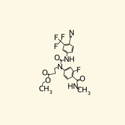 CCOC(=O)CCN(C(=O)Nc1ccc(C#N)c(C(F)(F)F)c1)c1ccc(C(=O)NC)c(F)c1